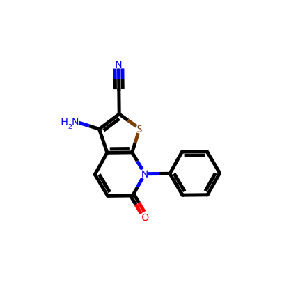 N#Cc1sc2c(ccc(=O)n2-c2ccccc2)c1N